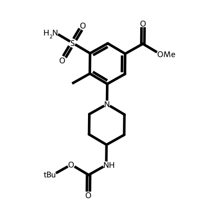 COC(=O)c1cc(N2CCC(NC(=O)OC(C)(C)C)CC2)c(C)c(S(N)(=O)=O)c1